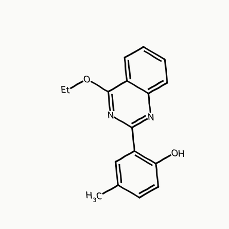 CCOc1nc(-c2cc(C)ccc2O)nc2ccccc12